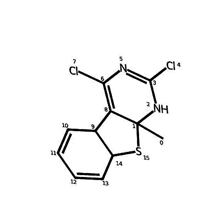 CC12NC(Cl)=NC(Cl)=C1C1C=CC=CC1S2